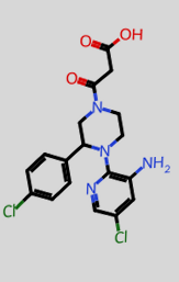 Nc1cc(Cl)cnc1N1CCN(C(=O)CC(=O)O)CC1c1ccc(Cl)cc1